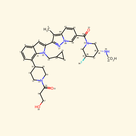 Cc1c(-c2cc3cccc(C4CCN(C(=O)CCO)CC4)c3n2CC2CC2)nn2cc(C(=O)N3C[C@H](F)C[C@@H](NC(=O)O)C3)ccc12